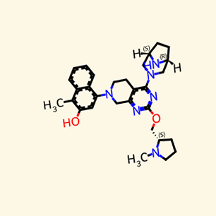 Cc1c(O)cc(N2CCc3c(nc(OC[C@@H]4CCCN4C)nc3N3C[C@H]4CC[C@@H](C3)N4)C2)c2ccccc12